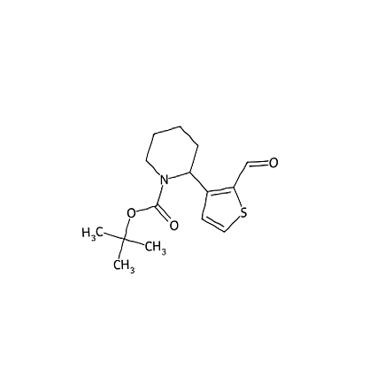 CC(C)(C)OC(=O)N1CCCCC1c1ccsc1C=O